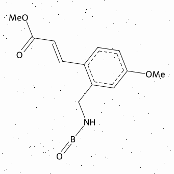 COC(=O)/C=C/c1ccc(OC)cc1CNB=O